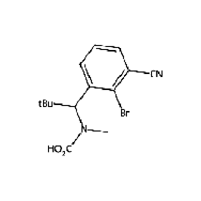 CN(C(=O)O)C(c1cccc(C#N)c1Br)C(C)(C)C